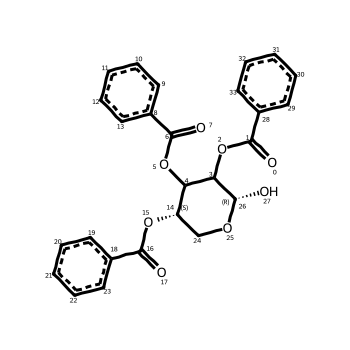 O=C(OC1C(OC(=O)c2ccccc2)[C@@H](OC(=O)c2ccccc2)CO[C@H]1O)c1ccccc1